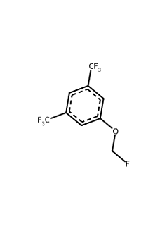 FCOc1cc(C(F)(F)F)cc(C(F)(F)F)c1